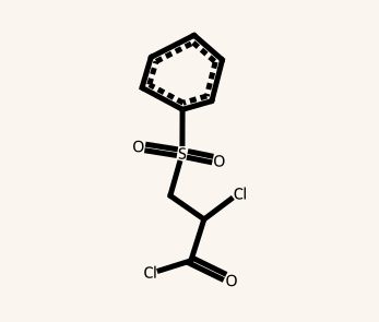 O=C(Cl)C(Cl)CS(=O)(=O)c1ccccc1